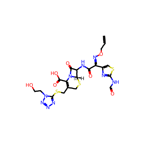 C=CCON=C(C(=O)NC1C(=O)N2C(C(=O)O)=C(CSc3nnnn3CCO)CS[C@@H]12)c1csc(NC=O)n1